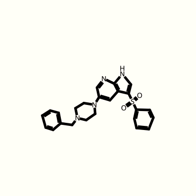 O=S(=O)(c1ccccc1)c1c[nH]c2ncc(N3CCN(Cc4ccccc4)CC3)cc12